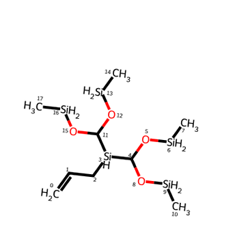 C=CC[SiH](C(O[SiH2]C)O[SiH2]C)C(O[SiH2]C)O[SiH2]C